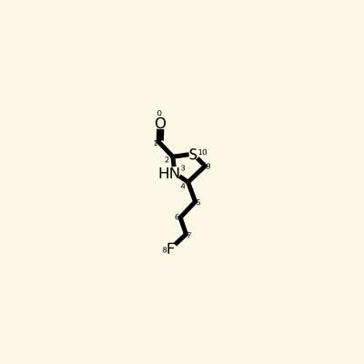 O=CC1NC(CCCF)CS1